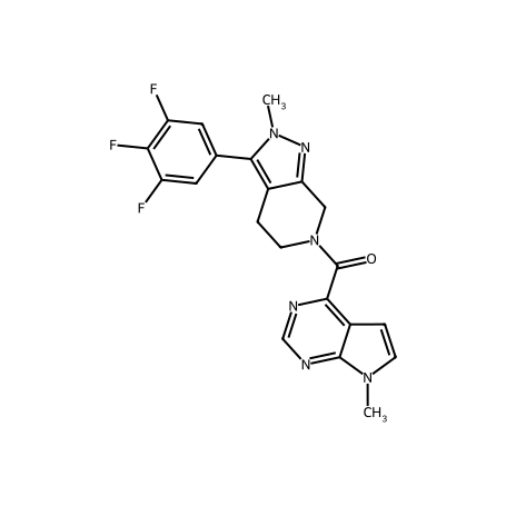 Cn1nc2c(c1-c1cc(F)c(F)c(F)c1)CCN(C(=O)c1ncnc3c1ccn3C)C2